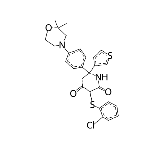 CC1(C)CN(c2ccc(C3(c4ccsc4)CC(=O)C(Sc4ccccc4Cl)C(=O)N3)cc2)CCO1